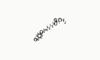 C=CC(=O)OCCCCCCCCOc1ccc(C=O)cc1